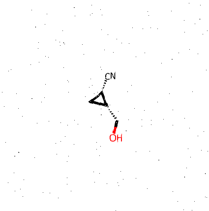 N#C[C@H]1C[C@H]1CO